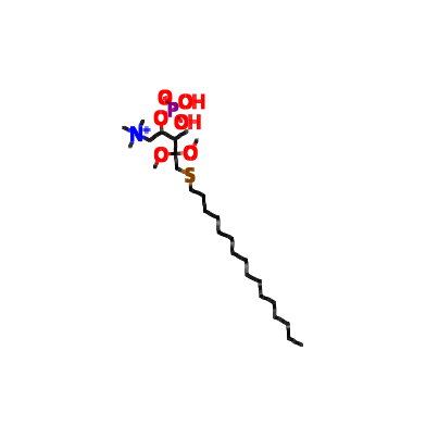 CCCCCCCCCCCCCCCCSCC(OC)(OC)C(C)C(C[N+](C)(C)C)OP(=O)(O)O